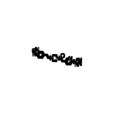 O=C(Cc1ccc(-n2cnnn2)nc1)N1CCN(CCc2ccc3nonc3c2)CC1